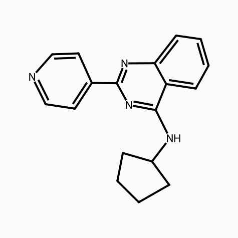 c1ccc2c(NC3CCCC3)nc(-c3ccncc3)nc2c1